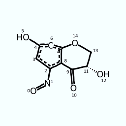 O=Nc1cc(O)cc2c1C(=O)[C@@H](O)CO2